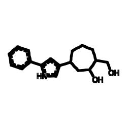 OCC1CCCC(c2c[nH]c(-c3ccccc3)c2)CC1O